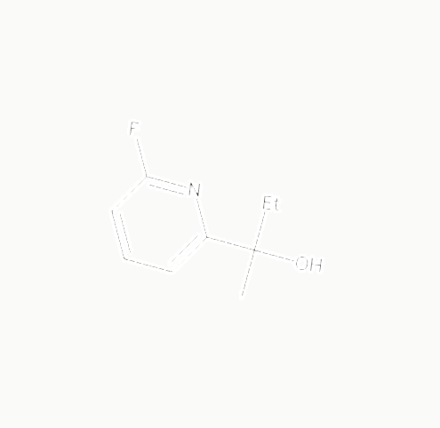 CCC(C)(O)c1cccc(F)n1